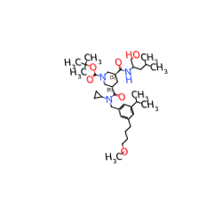 COCCCCc1cc(CN(C(=O)[C@@H]2C[C@H](C(=O)NC(CO)CC(C)C)CN(C(=O)OC(C)(C)C)C2)C2CC2)cc(C(C)C)c1